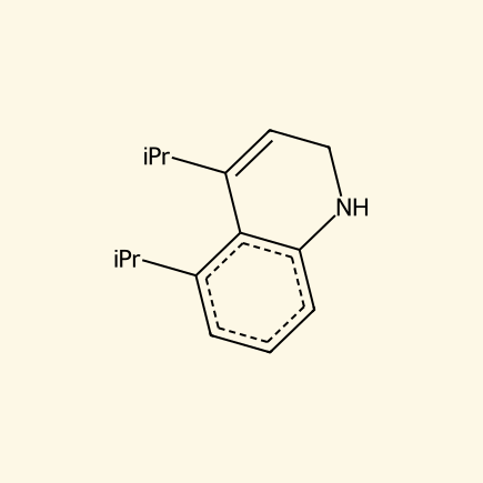 CC(C)C1=CCNc2cccc(C(C)C)c21